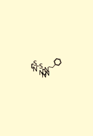 c1ccc(CCn2nnnc2Sc2nccs2)cc1